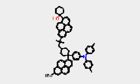 Cc1ccc(N(c2ccc(C)cc2)c2ccc(C3(c4ccc5ccc6cc(C(C)(C)C)cc7ccc4c5c67)CCC(CC(C)(C)c4cc5ccc6ccc(C7(O)CCCCC7)c7ccc(c4)c5c67)CC3)cc2)cc1